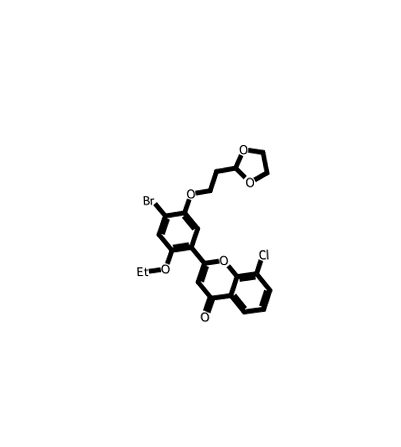 CCOc1cc(Br)c(OCCC2OCCO2)cc1-c1cc(=O)c2cccc(Cl)c2o1